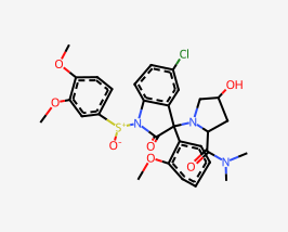 COc1ccc([S+]([O-])N2C(=O)C(c3ccccc3OC)(N3CC(O)CC3C(=O)N(C)C)c3cc(Cl)ccc32)cc1OC